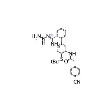 CC(C)(C)Sc1ccc(-c2ccccc2/C(N)=N/NN)cc1NC(=O)Cc1ccc(C#N)cc1